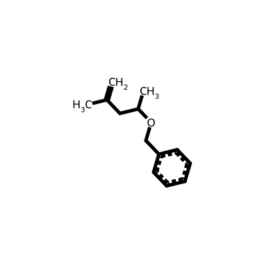 C=C(C)CC(C)OCc1ccccc1